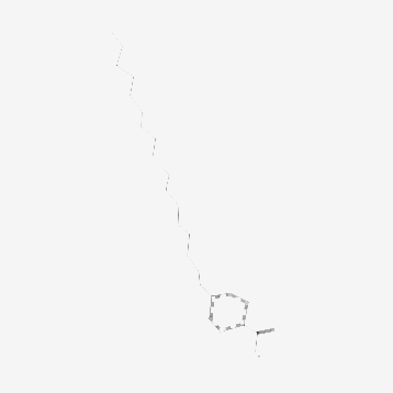 CCCCCCCCOCCCCCCCCc1ccc(C(=O)O)cc1